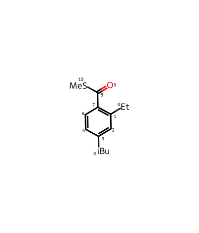 CCc1cc(C(C)CC)ccc1C(=O)SC